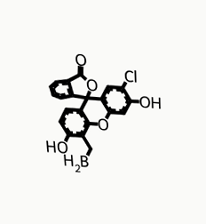 BCc1c(O)ccc2c1Oc1cc(O)c(Cl)cc1C21OC(=O)c2ccccc21